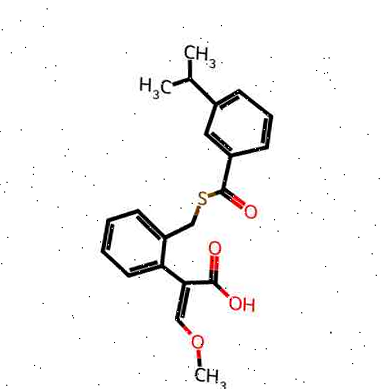 COC=C(C(=O)O)c1ccccc1CSC(=O)c1cccc(C(C)C)c1